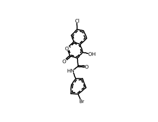 O=C(Nc1ccc(Br)cc1)c1c(O)c2ccc(Cl)cc2oc1=O